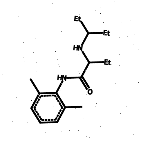 CCC(CC)NC(CC)C(=O)Nc1c(C)cccc1C